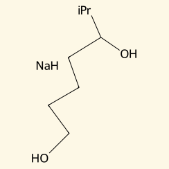 CC(C)C(O)CCCCO.[NaH]